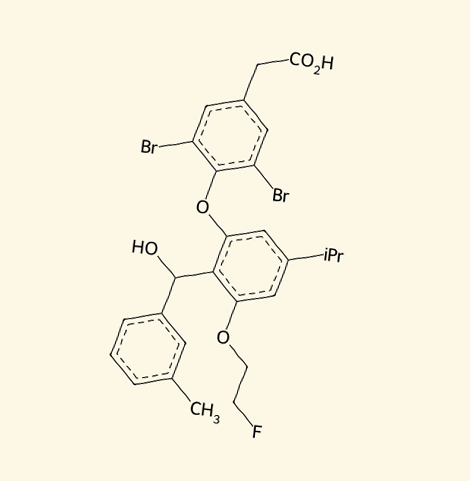 Cc1cccc(C(O)c2c(OCCF)cc(C(C)C)cc2Oc2c(Br)cc(CC(=O)O)cc2Br)c1